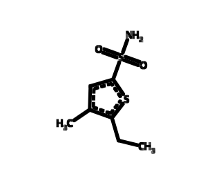 CCc1sc(S(N)(=O)=O)cc1C